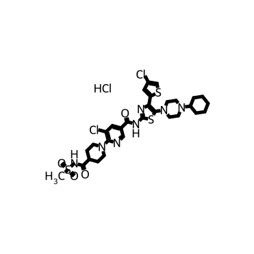 CS(=O)(=O)NC(=O)C1CCN(c2ncc(C(=O)Nc3nc(-c4cc(Cl)cs4)c(N4CCN(C5CCCCC5)CC4)s3)cc2Cl)CC1.Cl